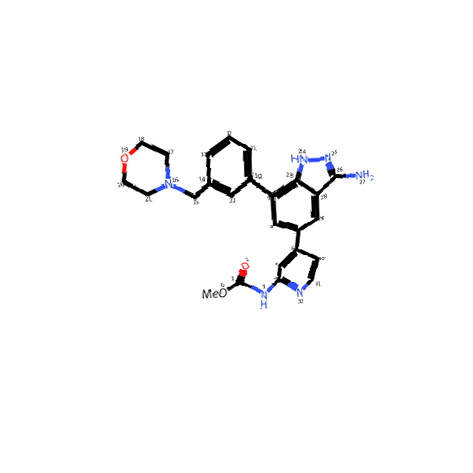 COC(=O)Nc1cc(-c2cc(-c3cccc(CN4CCOCC4)c3)c3[nH]nc(N)c3c2)ccn1